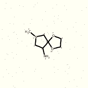 CN1CC(N)C2(C1)OCCO2